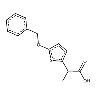 CC(C(=O)O)c1ccc(OCc2ccccc2)s1